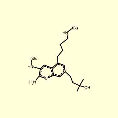 CCCCNc1cc2c(CCCCNC(C)(C)C)cc(CCC(C)(C)O)cc2nc1N